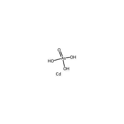 O=[As](O)(O)O.[Cd]